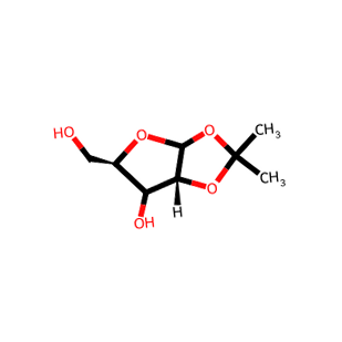 CC1(C)OC2O[C@H](CO)C(O)[C@H]2O1